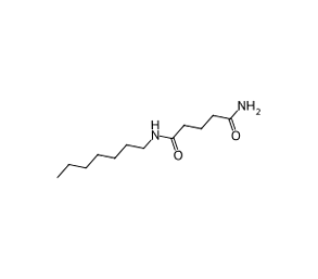 CCCCCCCNC(=O)CCCC(N)=O